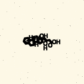 C[C@]12CCC=C=C1CC[C@@H]1[C@@H]2C=C[C@@]2(C)[C@H]1CC[C@]2(O)C=C(O)CC(=O)O